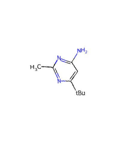 Cc1nc(N)cc(C(C)(C)C)n1